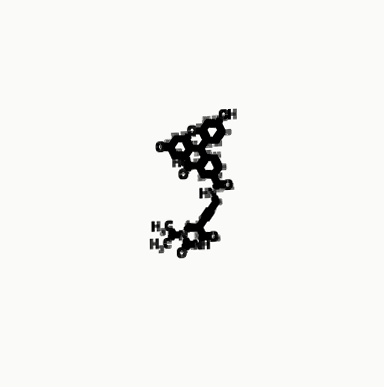 CC(C)n1cc(C#CCNC(=O)c2ccc(C3C4=C(CC(=O)C=C4)Oc4cc(O)ccc43)c(C(=O)O)c2)c(=O)[nH]c1=O